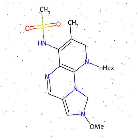 CCCCCCN1CC(C)=C(NS(C)(=O)=O)C2=C1N1CN(OC)C=C1C=N2